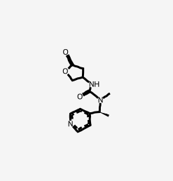 C[C@@H](c1ccncc1)N(C)C(=O)NC1COC(=O)C1